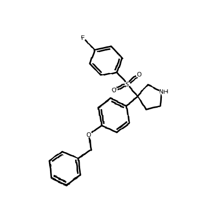 O=S(=O)(c1ccc(F)cc1)C1(c2ccc(OCc3ccccc3)cc2)CCNC1